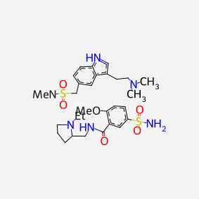 CCN1CCCC1CNC(=O)c1cc(S(N)(=O)=O)ccc1OC.CNS(=O)(=O)Cc1ccc2[nH]cc(CCN(C)C)c2c1